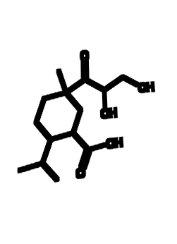 CC(C)C1CCC(C)(C(=O)C(O)CO)CC1C(=O)O